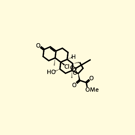 COC(=O)C(=O)[C@@]12CC[C@@]3(OC(C)O1)[C@@H]1CCC4=CC(=O)CC[C@]4(C)[C@@]1(Cl)[C@@H](O)C[C@]23C